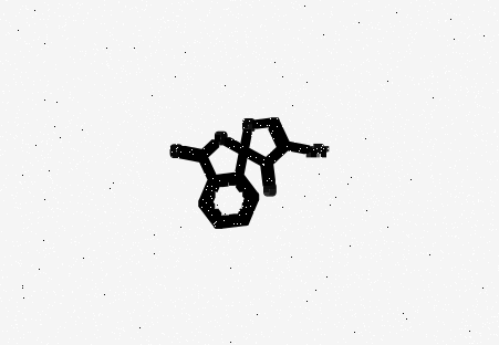 CCCC1=COC2(OC(=O)c3ccccc32)C1=O